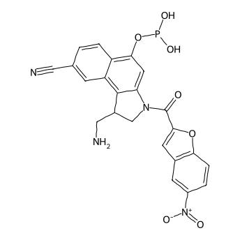 N#Cc1ccc2c(OP(O)O)cc3c(c2c1)C(CN)CN3C(=O)c1cc2cc([N+](=O)[O-])ccc2o1